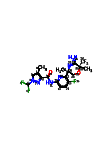 Cc1cn(C(F)F)nc1C(=O)Nc1ccc(F)c([C@]2(C)CO[C@@](C)(C(F)(F)F)C(N)=N2)n1